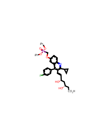 CC(C)OP(=O)(COc1ccc2nc(C3CC3)c(/C=C/[C@@H](O)C[C@@H](O)CC(=O)O)c(-c3ccc(F)cc3)c2c1)OC(C)C